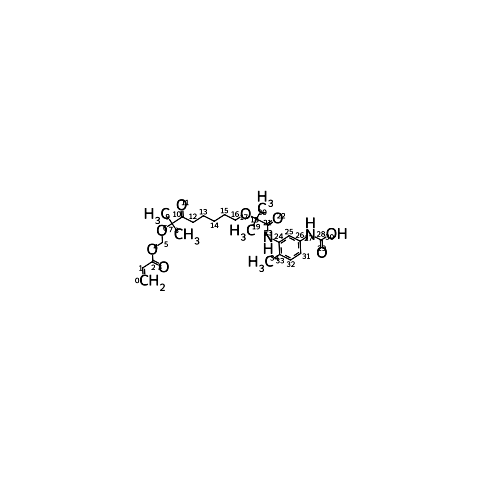 C=CC(=O)OCOC(C)(C)C(=O)CCCCCOC(C)(C)C(=O)Nc1cc(NC(=O)O)ccc1C